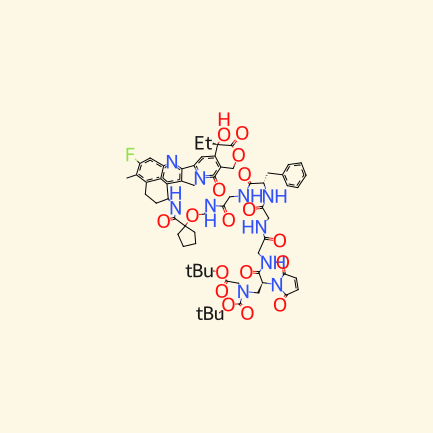 CC[C@@]1(O)C(=O)OCc2c1cc1n(c2=O)Cc2c-1nc1cc(F)c(C)c3c1c2[C@@H](NC(=O)C1(OCNC(=O)CNC(=O)[C@H](Cc2ccccc2)NC(=O)CNC(=O)CNC(=O)[C@H](CN(CC(=O)OC(C)(C)C)C(=O)OC(C)(C)C)N2C(=O)C=CC2=O)CCCC1)CC3